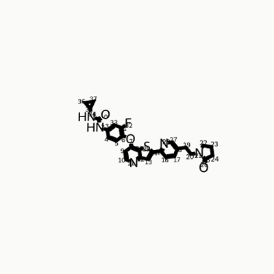 O=C(Nc1ccc(Oc2ccnc3cc(-c4ccc(CCN5CCCC5=O)cn4)sc23)c(F)c1)NC1CC1